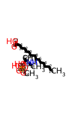 CCCCCCCCCCCCCCCC(=O)O.CCNC(C)O.COS(=O)(=O)O